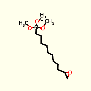 CO[Si](CCCCCCCCCC1CO1)(OC)OC